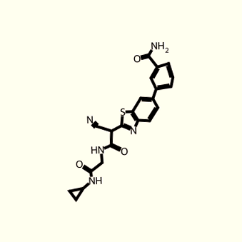 N#CC(C(=O)NCC(=O)NC1CC1)c1nc2ccc(-c3cccc(C(N)=O)c3)cc2s1